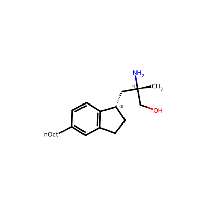 CCCCCCCCc1ccc2c(c1)CC[C@H]2C[C@](C)(N)CO